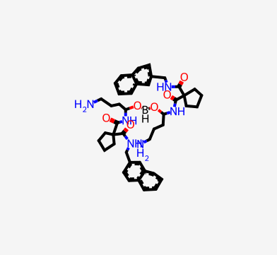 NCCCC(NC(=O)C1(C(=O)NCc2ccc3ccccc3c2)CCCC1)OBOC(CCCN)NC(=O)C1(C(=O)NCc2ccc3ccccc3c2)CCCC1